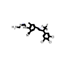 Cc1cc(/C=C/C(c2cc(Cl)c(Cl)c(Cl)c2)C(F)(F)F)cc(C#N)c1N/C=N\CN